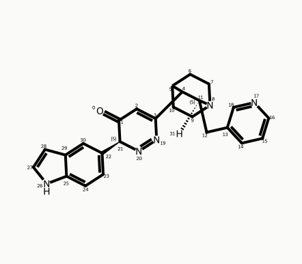 O=C1C=C(C2C3CCN(CC3)[C@H]2Cc2cccnc2)N=N[C@H]1c1ccc2[nH]ccc2c1